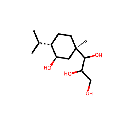 CC(C)[C@@H]1CC[C@@](C)(C(O)C(O)CO)C[C@H]1O